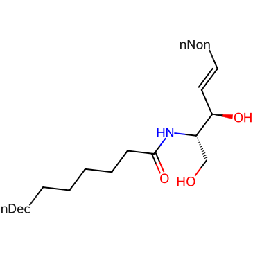 CCCCCCCCC/C=C/[C@@H](O)[C@H](CO)NC(=O)CCCCCCCCCCCCCCC